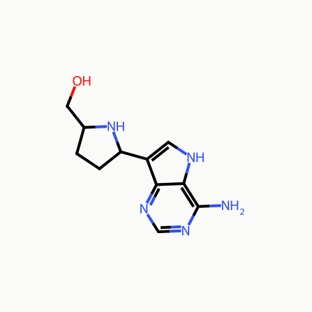 Nc1ncnc2c(C3CCC(CO)N3)c[nH]c12